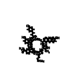 CC(=O)NCCCC[C@@H]1NC(=O)[C@@H](Cc2ccc(C(N)=O)cc2)NC(=O)[C@H](Cc2ccc(O)cc2)NC(=O)[C@H](NC(=O)CCc2ccc(Cl)cc2)CSSC[C@@H](C(=O)NC(Cc2ccc(O)cc2)C(N)=O)NC(=O)[C@H]([C@@H](C)O)NC1=O